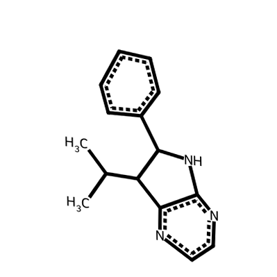 CC(C)C1c2nccnc2NC1c1ccccc1